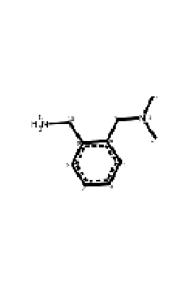 CN(C)Cc1ccccc1CN